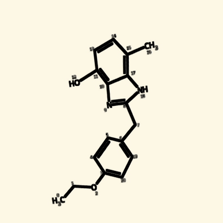 CCOc1ccc(Cc2nc3c(O)ccc(C)c3[nH]2)cc1